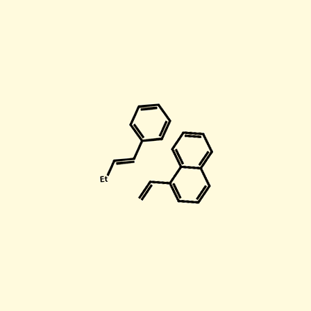 C=Cc1cccc2ccccc12.CCC=Cc1ccccc1